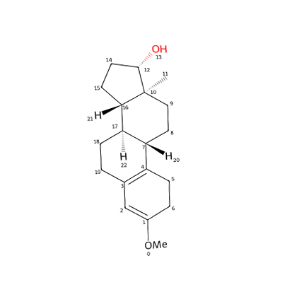 COC1=CC2=C(CC1)[C@H]1CC[C@]3(C)[C@@H](O)CC[C@H]3[C@@H]1CC2